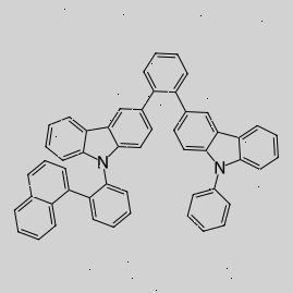 c1ccc(-n2c3ccccc3c3cc(-c4ccccc4-c4ccc5c(c4)c4ccccc4n5-c4ccccc4-c4cccc5ccccc45)ccc32)cc1